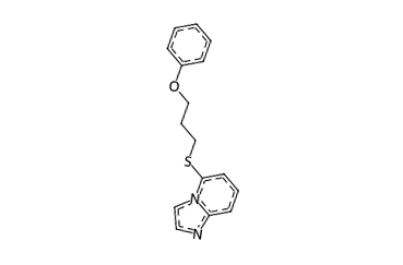 c1ccc(OCCCSc2cccc3nccn23)cc1